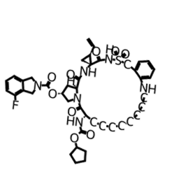 C=C[C@@H]1C[C@@]12NC(=O)[C@@H]1C[C@@H](OC(=O)N3Cc4cccc(F)c4C3)CN1C(=O)[C@@H](NC(=O)OC1CCCC1)CCCCCCCCNc1ccccc1CS(=O)(=O)NC2=O